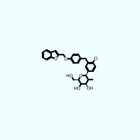 CC1[C@@H](O)C(O)[C@@H](CO)O[C@H]1c1ccc(Cl)c(Cc2ccc(OCc3cc4ccccc4o3)cc2)c1